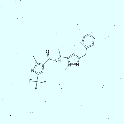 CC(NC(=O)c1cc(C(F)(F)F)nn1C)c1cc(Cc2ccccc2)nn1C